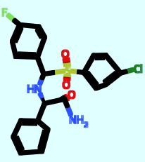 NC(=O)[C@H](NC(c1ccc(F)cc1)S(=O)(=O)c1ccc(Cl)cc1)c1ccccc1